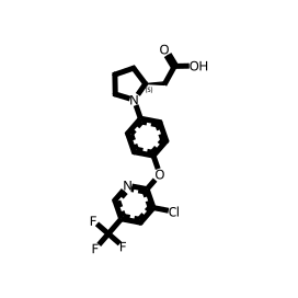 O=C(O)C[C@@H]1CCCN1c1ccc(Oc2ncc(C(F)(F)F)cc2Cl)cc1